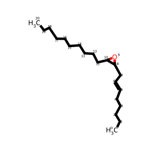 CCCCCC=CCC1OC1CCCCCCCCCC